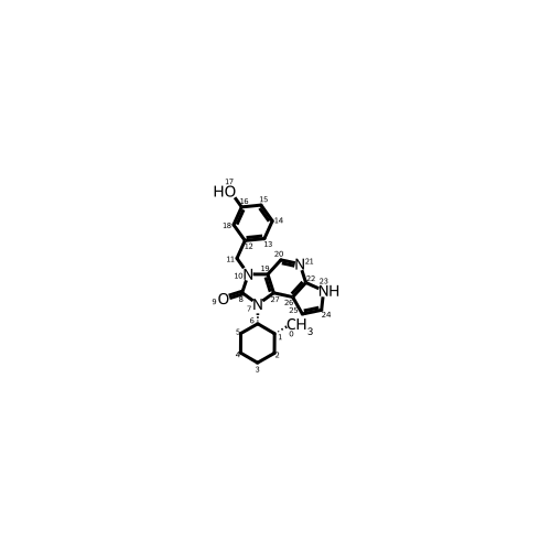 C[C@@H]1CCCC[C@@H]1n1c(=O)n(Cc2cccc(O)c2)c2cnc3[nH]ccc3c21